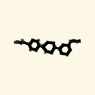 CCCCCCC[C@H]1CCC[C@@H](C2CCC([C@H]3CC[C@H](CCCCCCC)CC3)CC2)C1